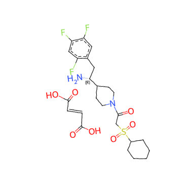 N[C@H](Cc1cc(F)c(F)cc1F)C1CCN(C(=O)CS(=O)(=O)C2CCCCC2)CC1.O=C(O)C=CC(=O)O